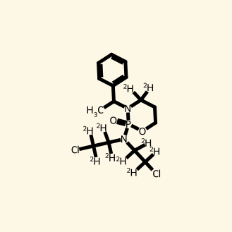 [2H]C1([2H])CCOP(=O)(N(C([2H])([2H])C([2H])([2H])Cl)C([2H])([2H])C([2H])([2H])Cl)N1C(C)c1ccccc1